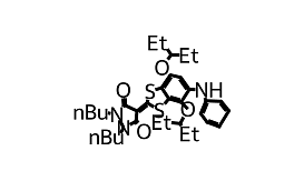 CCCCN1C(=O)C(=C2Sc3c(OC(CC)CC)cc(Nc4ccccc4)c(OC(CC)CC)c3S2)C(=O)N1CCCC